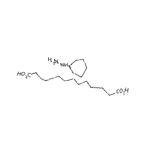 C1CCCCC1.N.N.O=C(O)CCCCCCCCCCC(=O)O